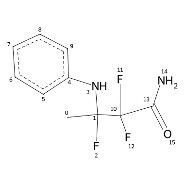 CC(F)(Nc1ccccc1)C(F)(F)C(N)=O